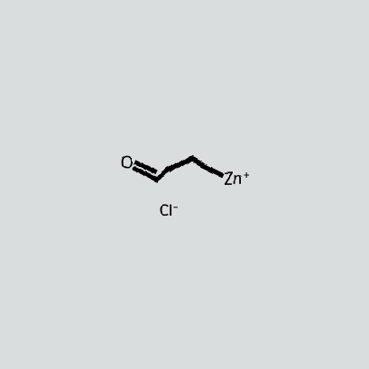 O=C[CH2][Zn+].[Cl-]